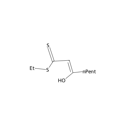 CCCCCC(O)=CC(=S)SCC